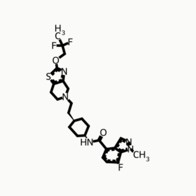 Cn1ncc2c(C(=O)N[C@H]3CC[C@H](CCN4CCc5sc(OCC(C)(F)F)nc5C4)CC3)ccc(F)c21